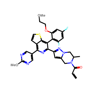 C=CC(=O)N1Cc2cc(-c3nc(-c4cnc(OC)nc4)c4ccsc4c3-c3c(F)cc(F)cc3OCCOC)nn2CC1C